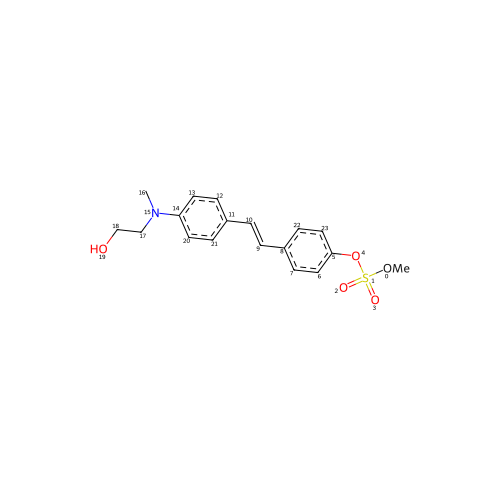 COS(=O)(=O)Oc1ccc(C=Cc2ccc(N(C)CCO)cc2)cc1